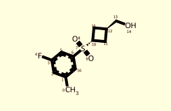 Cc1cc(F)cc(S(=O)(=O)[C@H]2C[C@H](CO)C2)c1